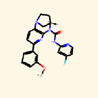 O=C(Nc1cc(F)ccn1)N1c2nc(-c3cccc(OC(F)(F)F)c3)ccc2N2CC[C@H]1C2